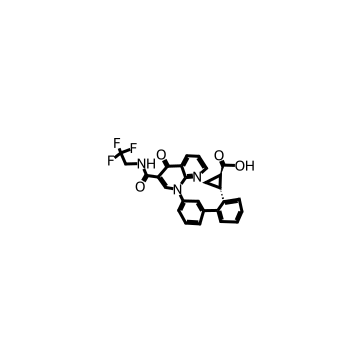 O=C(NCC(F)(F)F)c1cn(-c2cccc(-c3ccccc3[C@@H]3C[C@H]3C(=O)O)c2)c2ncccc2c1=O